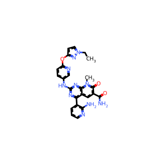 CCn1ccc(Oc2ccc(Nc3nc(-c4cccnc4N)c4cc(C(N)=O)c(=O)n(C)c4n3)cn2)n1